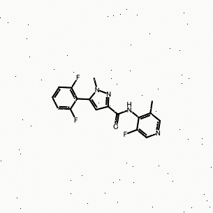 Cc1cncc(F)c1NC(=O)c1cc(-c2c(F)cccc2F)n(C)n1